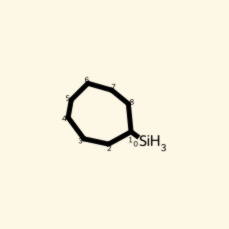 [SiH3]C1CCCCCCC1